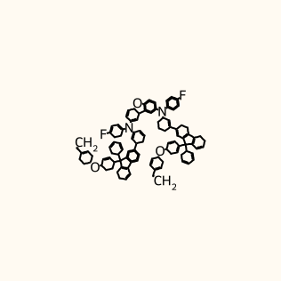 C=CC1=CCC(OC2C=CC(C3(C4C=CC=CC4)C4=C(CCC=C4)C4=C3C=C(C3=CC(N(c5ccc(F)cc5)c5ccc6c(c5)C5C=C(N(C7=CC(c8ccc9c(c8)C(C8C=CC=CC8)(C8C=CC(OC%10CC=C(C=C)CC%10)CC8)C8=C9C=CCC8)CC=C7)C7=CC=C(F)CC7)C=CC5O6)CCC3)CC4)=CC2)C=C1